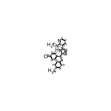 CNc1ncccc1-c1noc(C(Sc2ccc(C)cc2)c2ccc(Cl)cc2)n1